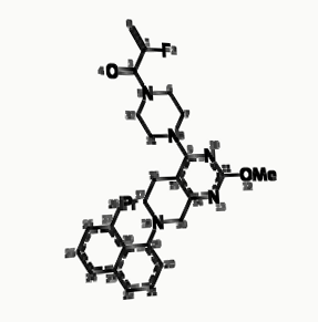 C=C(F)C(=O)N1CCN(c2nc(OC)nc3c2CCN(c2cccc4cccc(C(C)C)c24)C3)CC1